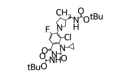 C[C@H]1CN(c2c(F)cc3c(=O)n(NC(=O)OC(C)(C)C)c(=O)n(C4CC4)c3c2Cl)C[C@@H]1CNC(=O)OC(C)(C)C